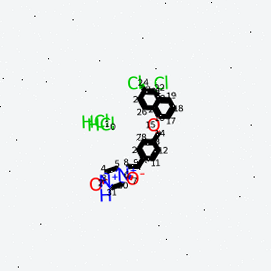 Cl.Cl.[O-][NH+]1CC[N+]([O-])(CCc2ccc(COc3cccc4c(Cl)c(Cl)ccc34)cc2)CC1